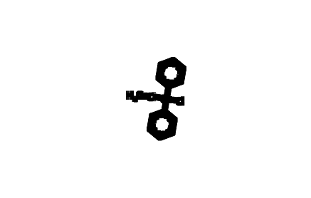 [Cl][Ge]([Cl])([c]1ccccc1)[c]1ccccc1.[GeH4]